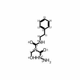 NNC(=O)N(CO)C(=O)NCCc1ccccc1